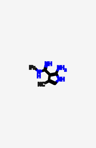 CC(C)NC(=N)c1c(C#N)c[nH]c1N